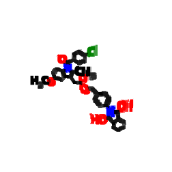 COc1ccc2c(c1)c(CC(=O)OCc1ccc(N3C(O)c4ccccc4C3O)cc1)c(C)n2C(=O)c1ccc(Cl)cc1